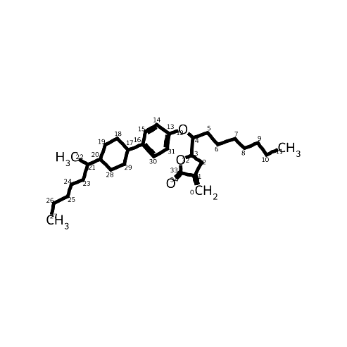 C=C1CC(C(CCCCCCC)Oc2ccc(C3CCC(C(C)CCCCC)CC3)cc2)OC1=O